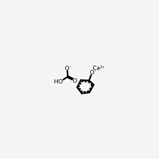 O=C([O-])O.[Ca+2].[O-]c1ccccc1